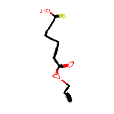 C=CCOC(=O)CCCC(O)=S